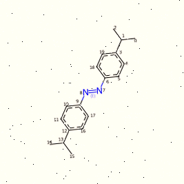 CC(C)c1ccc(/N=N/c2ccc(C(C)C)cc2)cc1